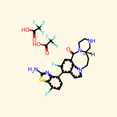 Nc1nc2c(-c3c(F)cc4c5c3ccn5CC[C@H]3CNCCN3C4=O)ccc(F)c2s1.O=C(O)C(F)(F)F.O=C(O)C(F)(F)F